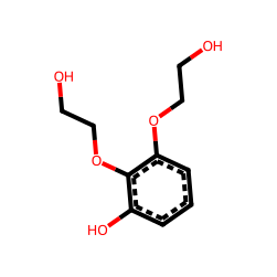 OCCOc1cccc(O)c1OCCO